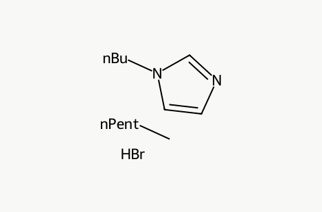 Br.CCCCCC.CCCCn1ccnc1